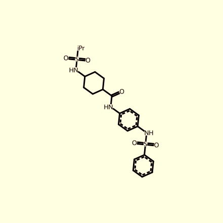 CC(C)S(=O)(=O)NC1CCC(C(=O)Nc2ccc(NS(=O)(=O)c3ccccc3)cc2)CC1